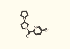 O=C(c1ccc(Br)cn1)N1CC[C@@H](N2CCCC2)C1